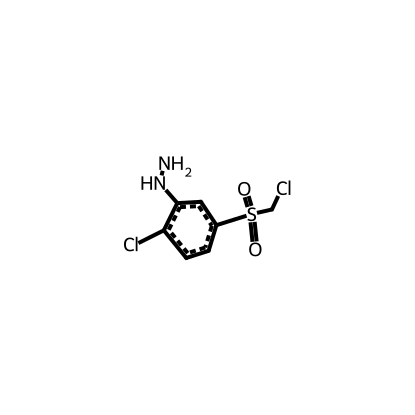 NNc1cc(S(=O)(=O)CCl)ccc1Cl